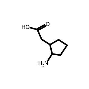 NC1CCCC1CC(=O)O